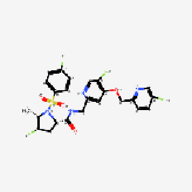 C[C@H]1[C@H](F)C[C@@H](C(=O)NCc2cc(OCc3ccc(F)cn3)c(F)cn2)N1S(=O)(=O)c1ccc(F)cc1